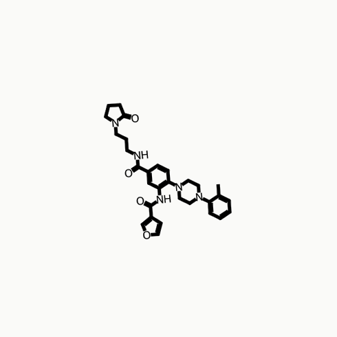 Cc1ccccc1N1CCN(c2ccc(C(=O)NCCCN3CCCC3=O)cc2NC(=O)c2ccoc2)CC1